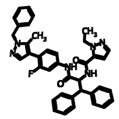 CCn1nccc1C(=O)NC(C(=O)Nc1ccc(-c2cnn(Cc3ccccc3)c2C)c(F)c1)C(c1ccccc1)c1ccccc1